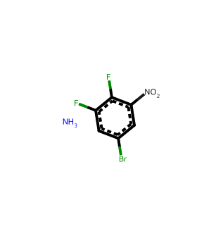 N.O=[N+]([O-])c1cc(Br)cc(F)c1F